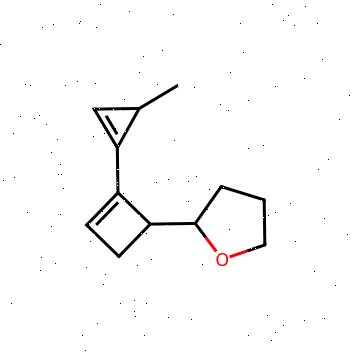 CC1C=C1C1=CCC1C1CCCO1